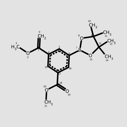 C=C(OC)c1cc(B2OC(C)(C)C(C)(C)O2)cc(C(=O)OC)c1